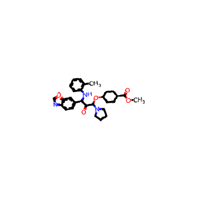 COC(=O)C1CCC(OC(C(=O)C(Nc2ccccc2C)c2ccc3ncoc3c2)N2CCCC2)CC1